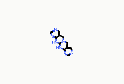 c1ncc2c(n1)NC1Nc3ncncc3CN1C2